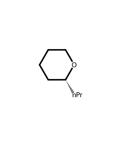 CCC[C@@H]1CCCCO1